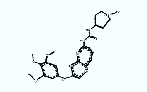 COc1cc(Nc2cnc3ccc(NC(=S)NC4CC[NH+]([O-])CC4)nc3n2)cc(OC)c1OC